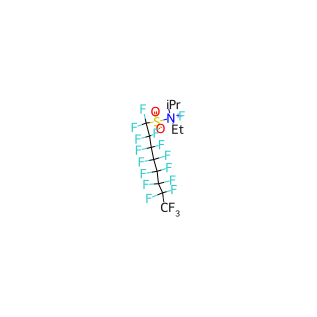 [CH2]C[N+](F)(C(C)C)S(=O)(=O)C(F)(F)C(F)(F)C(F)(F)C(F)(F)C(F)(F)C(F)(F)C(F)(F)C(F)(F)F